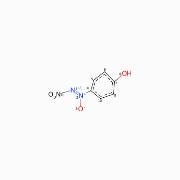 O=[N+]([O-])/N=[N+](\[O-])c1ccc(O)cc1